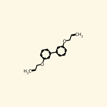 C=CCOc1cccc(-c2cccc(OCC=C)c2)c1